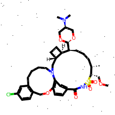 COC[C@H]1[C@@H](C)CCC[C@H]([C@H]2OC[C@H](N(C)C)CO2)[C@@H]2CC[C@H]2CN2CCCCc3cc(Cl)ccc3COc3ccc(cc32)C(=O)NS1(=O)=O